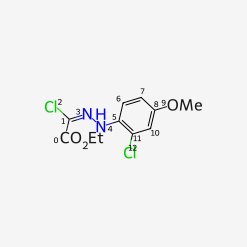 CCOC(=O)/C(Cl)=N\Nc1ccc(OC)cc1Cl